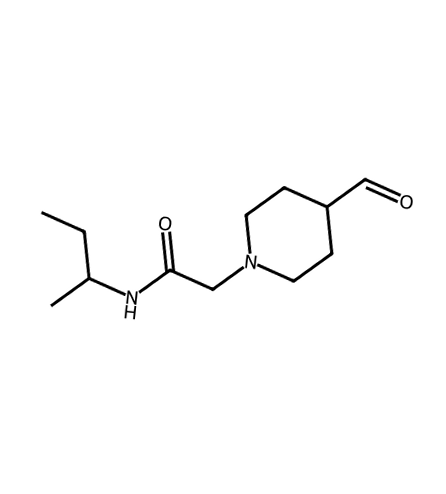 CCC(C)NC(=O)CN1CCC(C=O)CC1